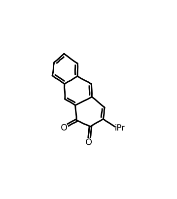 CC(C)C1=Cc2cc3ccccc3cc2C(=O)C1=O